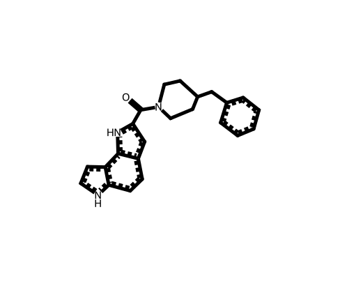 O=C(c1cc2ccc3[nH]ccc3c2[nH]1)N1CCC(Cc2ccccc2)CC1